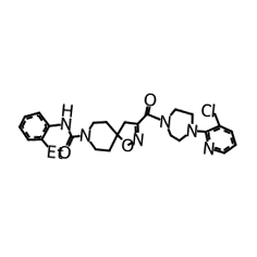 CCc1ccccc1NC(=O)N1CCC2(CC1)CC(C(=O)N1CCN(c3ncccc3Cl)CC1)=NO2